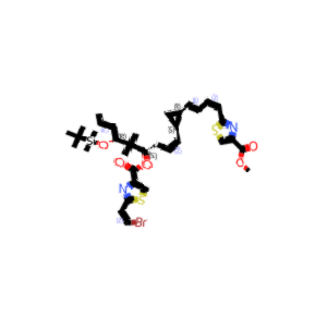 C/C=C/[C@@H](O[Si](C)(C)C(C)(C)C)C(C)(C)[C@H](C/C=C\[C@H]1C[C@H]1/C=C/C=C\c1nc(C(=O)OC)cs1)OC(=O)c1csc(/C=C\Br)n1